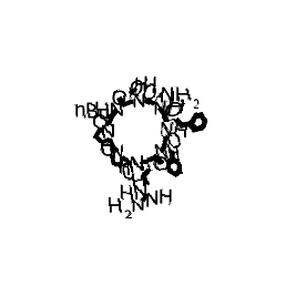 CCCC[C@@H]1NC(=O)[C@H](CO)NC(=O)[C@H](CN)NC(=O)[C@H](CCc2ccccc2)NC(=O)[C@H](Cc2ccccc2)NC(=O)[C@H](CCCNC(=N)N)NC(=O)[C@@H]2CCCN2C(=O)[C@H]2CCCN2C1=O